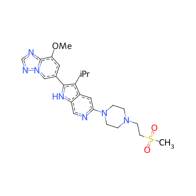 COc1cc(-c2[nH]c3cnc(N4CCN(CCS(C)(=O)=O)CC4)cc3c2C(C)C)cn2ncnc12